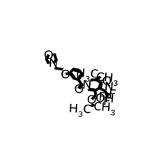 CC(C)OC(O)C1=CN(C(=O)c2cccc(OCCN3CCOCC3)c2)CC(C)(C)c2onc(C(F)(F)F)c21